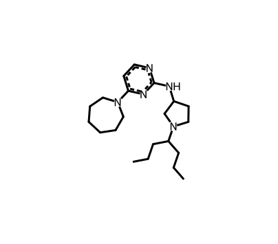 CCCC(CCC)N1CCC(Nc2nccc(N3CCCCCC3)n2)C1